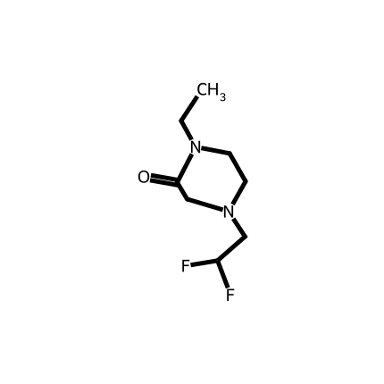 CCN1CCN(CC(F)F)CC1=O